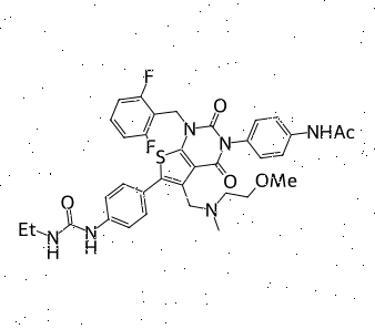 CCNC(=O)Nc1ccc(-c2sc3c(c2CN(C)CCOC)c(=O)n(-c2ccc(NC(C)=O)cc2)c(=O)n3Cc2c(F)cccc2F)cc1